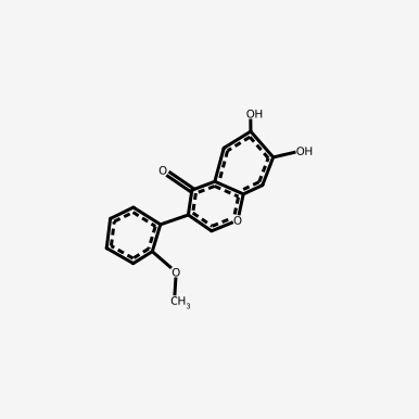 COc1ccccc1-c1coc2cc(O)c(O)cc2c1=O